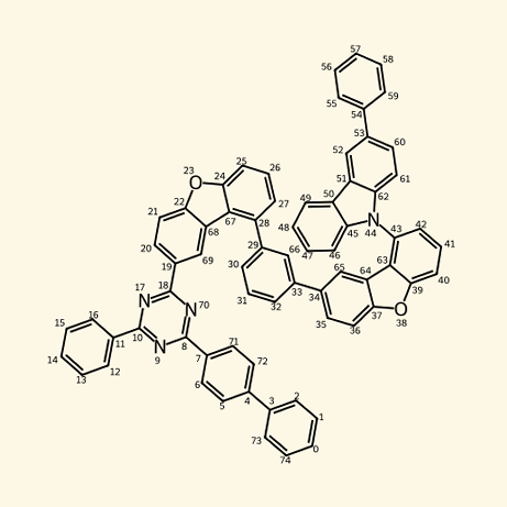 c1ccc(-c2ccc(-c3nc(-c4ccccc4)nc(-c4ccc5oc6cccc(-c7cccc(-c8ccc9oc%10cccc(-n%11c%12ccccc%12c%12cc(-c%13ccccc%13)ccc%12%11)c%10c9c8)c7)c6c5c4)n3)cc2)cc1